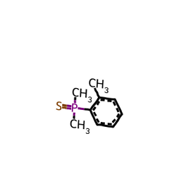 Cc1ccccc1P(C)(C)=S